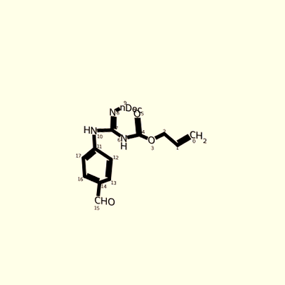 C=CCOC(=O)N/C(=N\CCCCCCCCCC)Nc1ccc(C=O)cc1